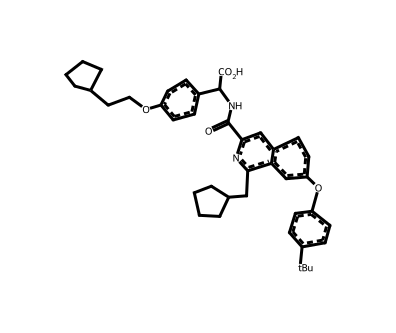 CC(C)(C)c1ccc(Oc2ccc3cc(C(=O)NC(C(=O)O)c4ccc(OCCC5CCCC5)cc4)nc(CC4CCCC4)c3c2)cc1